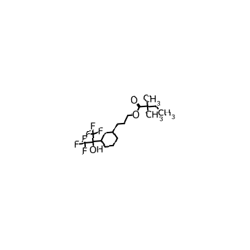 CCC(C)(C)C(=O)OCCCC1CCCC(C(O)(C(F)(F)F)C(F)(F)F)C1